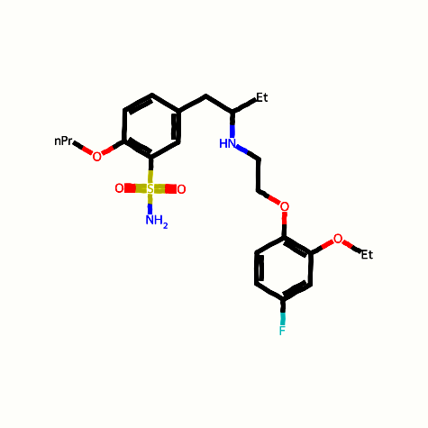 CCCOc1ccc(CC(CC)NCCOc2ccc(F)cc2OCC)cc1S(N)(=O)=O